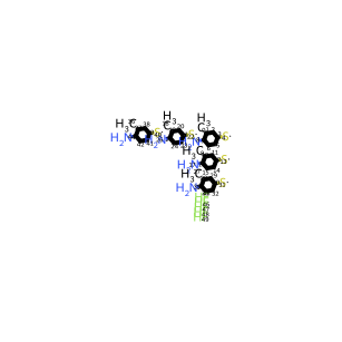 Cc1cc([S])ccc1N.Cc1cc([S])ccc1N.Cc1cc([S])ccc1N.Cc1cc([S])ccc1N.Cc1cc([S])ccc1N.F.F.F.F.F